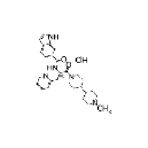 CN1CCC(C2CCN(C(=O)[C@@H](Cc3ccccn3)NC(=O)c3ccc4cc[nH]c4c3)CC2)CC1.Cl